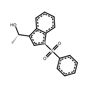 C[C@H](O)c1cn(S(=O)(=O)c2ccccc2)c2ccccc12